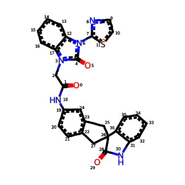 O=C(Cn1c(=O)n(-c2nccs2)c2ccccc21)Nc1ccc2c(c1)CC1(C2)C(=O)Nc2ccccc21